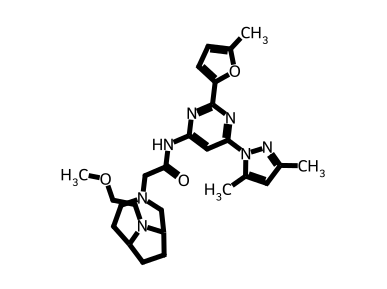 COCCN1C2CCC1CN(CC(=O)Nc1cc(-n3nc(C)cc3C)nc(-c3ccc(C)o3)n1)CC2